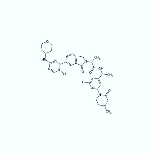 CC(NC(=O)C(C)N1Cc2ccc(-c3nc(NC4CCOCC4)ncc3Cl)cc2C1=O)c1cc(F)cc(N2CCN(C)CC2=O)c1